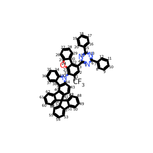 FC(F)(F)c1cc(-c2nc(-c3ccccc3)nc(-c3ccccc3)n2)c2c(oc3ccccc32)c1-n1c2ccccc2c2c3c(ccc21)C1(c2ccccc2-c2ccccc21)c1ccccc1-3